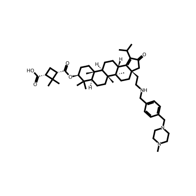 CC(C)C1=C2[C@H]3CC[C@@H]4[C@@]5(C)CC[C@H](OC(=O)[C@H]6C[C@@H](C(=O)O)C6(C)C)C(C)(C)[C@@H]5CC[C@@]4(C)[C@]3(C)CC[C@@]2(CCNCc2ccc(CN3CCN(C)CC3)cc2)CC1=O